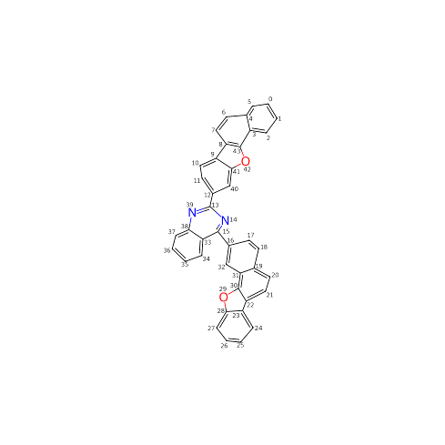 c1ccc2c(c1)ccc1c3ccc(-c4nc(-c5ccc6ccc7c8ccccc8oc7c6c5)c5ccccc5n4)cc3oc21